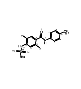 Cc1cc(C(=O)Nc2ccc(C(F)(F)F)cc2)c(C)cc1NS(=O)(=O)C(C)(C)C